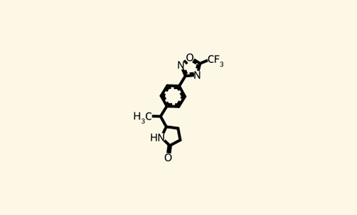 CC(c1ccc(-c2noc(C(F)(F)F)n2)cc1)C1CCC(=O)N1